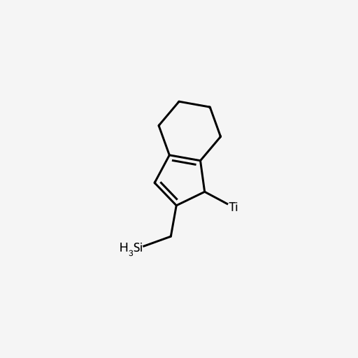 [SiH3]CC1=CC2=C(CCCC2)[CH]1[Ti]